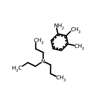 CCCN(CCC)CCC.Cc1cccc(N)c1C